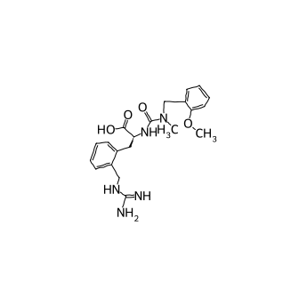 COc1ccccc1CN(C)C(=O)N[C@@H](Cc1ccccc1CNC(=N)N)C(=O)O